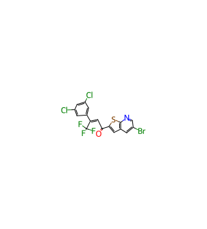 O=C(/C=C(/c1cc(Cl)cc(Cl)c1)C(F)(F)F)c1cc2cc(Br)cnc2s1